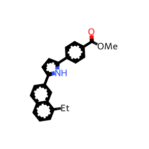 CCc1cccc2ccc(-c3ccc(-c4ccc(C(=O)OC)cc4)[nH]3)cc12